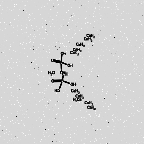 O.O=P(O)(O)O.O=P(O)(O)O.[CaH2].[CaH2].[CaH2].[CaH2].[CaH2].[CaH2].[CaH2].[CaH2].[CaH2].[CaH2]